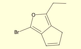 CCc1oc(Br)c2c1CC=C2